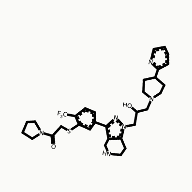 O=C(CSc1cc(-c2nn(CC(O)CN3CCC(c4ccccn4)CC3)c3c2CNCC3)ccc1C(F)(F)F)N1CCCC1